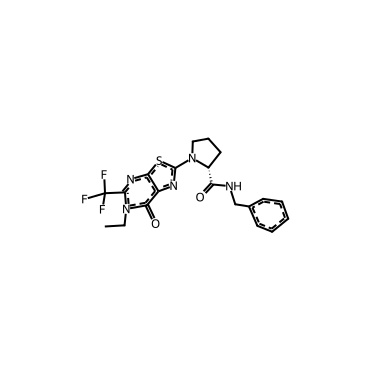 CCn1c(C(F)(F)F)nc2sc(N3CCC[C@@H]3C(=O)NCc3ccccc3)nc2c1=O